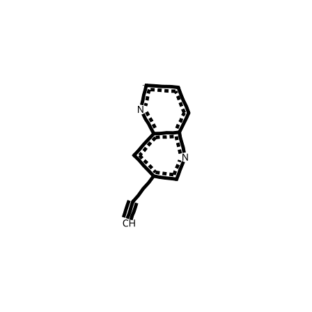 C#Cc1cnc2cc[c]nc2c1